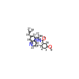 COc1ccc(C)c(C(=O)NC2(c3cc(C=C(C)C)cc4ncccc34)CC2)c1